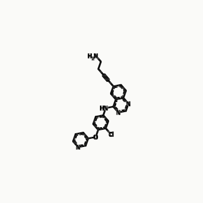 NCCC#Cc1ccc2ncnc(Nc3ccc(Oc4cccnc4)c(Cl)c3)c2c1